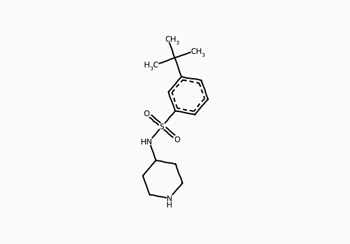 CC(C)(C)c1cccc(S(=O)(=O)NC2CCNCC2)c1